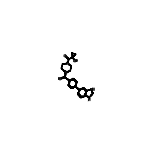 O=C(c1ccc(-c2ccc3c(c2)NCN3)cc1)N1CCN(C(=O)C2(O)CC2)CC1